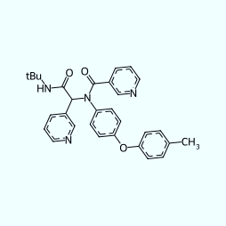 Cc1ccc(Oc2ccc(N(C(=O)c3cccnc3)C(C(=O)NC(C)(C)C)c3cccnc3)cc2)cc1